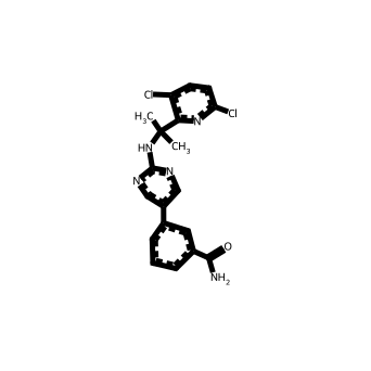 CC(C)(Nc1ncc(-c2cccc(C(N)=O)c2)cn1)c1nc(Cl)ccc1Cl